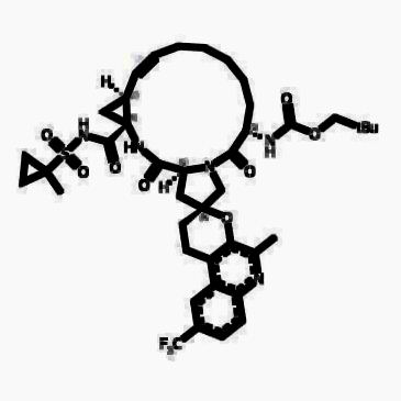 Cc1nc2ccc(C(F)(F)F)cc2c2c1O[C@]1(CC2)C[C@H]2C(=O)N[C@]3(C(=O)NS(=O)(=O)C4(C)CC4)C[C@H]3/C=C\CCCCC[C@H](NC(=O)OCC(C)(C)C)C(=O)N2C1